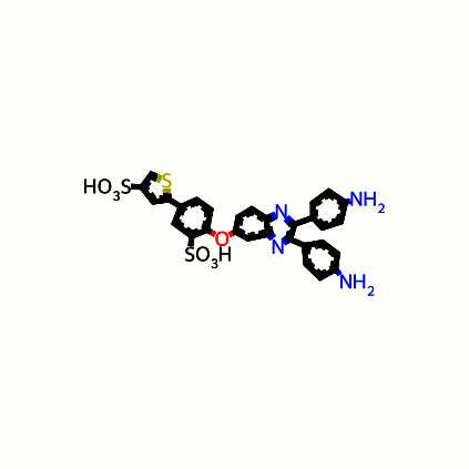 Nc1ccc(-c2nc3ccc(Oc4ccc(-c5cc(S(=O)(=O)O)cs5)cc4S(=O)(=O)O)cc3nc2-c2ccc(N)cc2)cc1